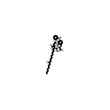 CCCCCCCC(=O)CCCCCC/C=C/[C@H](C(=O)N[C@@H](Cc1ccc(N(C)c2ccccc2)cc1)C(=O)O)[C@@](O)(CC(=O)O)C(=O)O